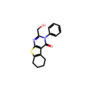 O=c1c2c3c(sc2nc(CO)n1-c1ccccc1)CCCC3